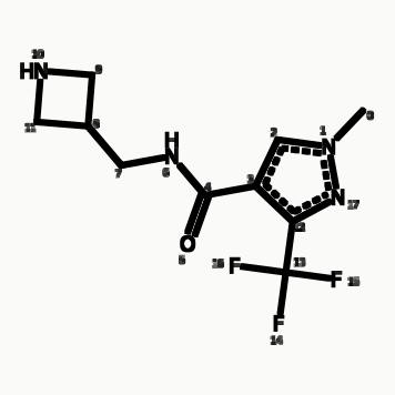 Cn1cc(C(=O)NCC2CNC2)c(C(F)(F)F)n1